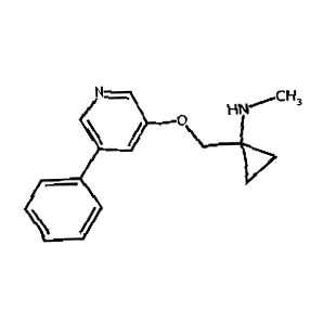 CNC1(COc2cncc(-c3ccccc3)c2)CC1